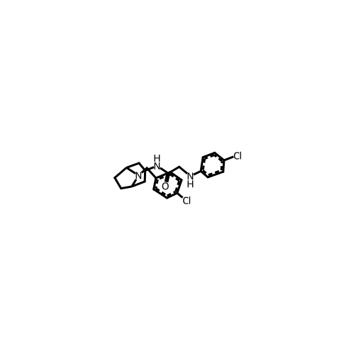 O=C(CNc1ccc(Cl)cc1)NC1CC2CCC(C1)N2Cc1ccc(Cl)cc1